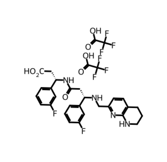 O=C(O)C(F)(F)F.O=C(O)C(F)(F)F.O=C(O)C[C@H](NC(=O)C[C@H](NCc1ccc2c(n1)NCCC2)c1cccc(F)c1)c1cccc(F)c1